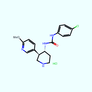 COc1ccc([C@@H]2CNCC[C@H]2NC(=O)Nc2ccc(Cl)cc2)cn1.Cl